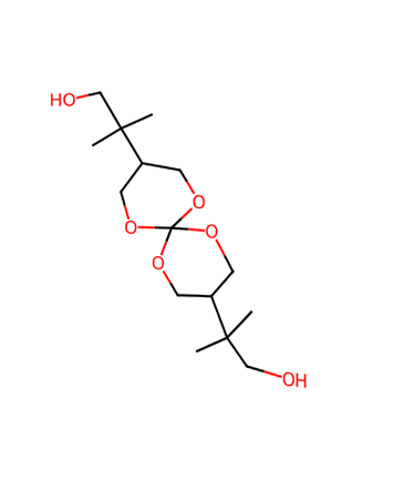 CC(C)(CO)C1COC2(OC1)OCC(C(C)(C)CO)CO2